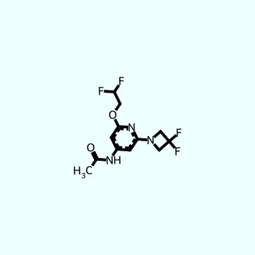 CC(=O)Nc1cc(OCC(F)F)nc(N2CC(F)(F)C2)c1